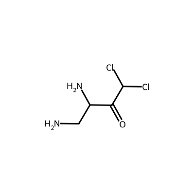 NCC(N)C(=O)C(Cl)Cl